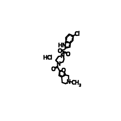 CN1CCc2cc(C(=O)N3CCN(S(=O)(=O)c4cc5cc(Cl)ccc5[nH]4)CC3)oc2C1.Cl